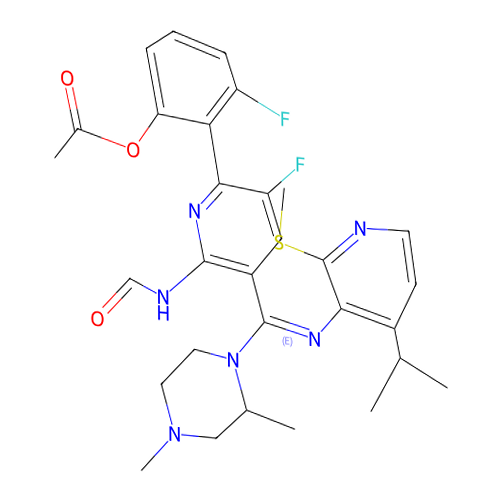 CSc1nccc(C(C)C)c1/N=C(\c1cc(F)c(-c2c(F)cccc2OC(C)=O)nc1NC=O)N1CCN(C)CC1C